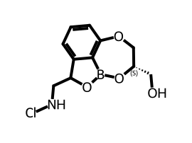 OC[C@H]1COc2cccc3c2B(OC3CNCl)O1